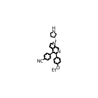 CCOc1ccc(-c2ncc3c(ccn3C[C@@H]3CCNC3)c2-c2ccc(C#N)cc2)cc1